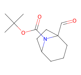 CC(C)(C)OC(=O)N1C2CCCC1(C=O)CC2